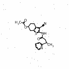 CC(=O)OC1CCc2c(sc(NC(=O)CC(C)c3ccccn3)c2C#N)C1